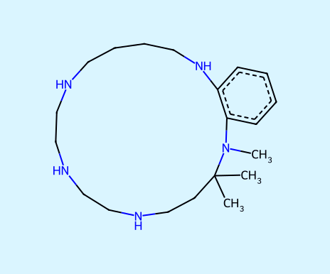 CN1c2ccccc2NCCCCNCCNCCNCCC1(C)C